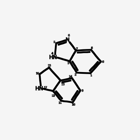 c1ccc2[nH]cnc2c1.c1ccc2c(c1)CCN2